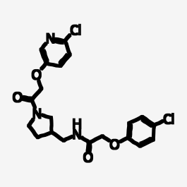 O=C(COc1ccc(Cl)cc1)NCC1CCN(C(=O)COc2ccc(Cl)nc2)C1